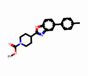 Cc1ccc(-c2ccc3oc(C4CCN(C(=O)OC(C)C)CC4)nc3c2)cc1